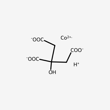 O=C([O-])CC(O)(CC(=O)[O-])C(=O)[O-].[Co+2].[H+]